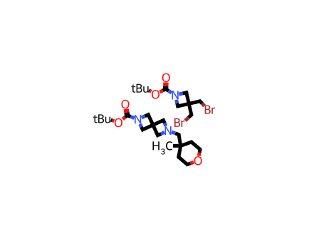 CC(C)(C)OC(=O)N1CC(CBr)(CBr)C1.CC1(CN2CC3(C2)CN(C(=O)OC(C)(C)C)C3)CCOCC1